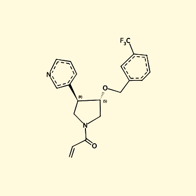 C=CC(=O)N1C[C@@H](OCc2cccc(C(F)(F)F)c2)[C@H](c2cccnc2)C1